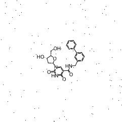 O=C(NCc1cccc(-c2ccccc2)c1)c1cn([C@H]2C[C@H](O)[C@@H](CO)O2)c(=O)[nH]c1=O